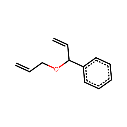 C=CCOC(C=C)c1ccccc1